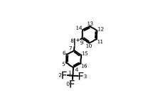 FC(F)(F)c1ccc([I+]c2ccccc2)cc1